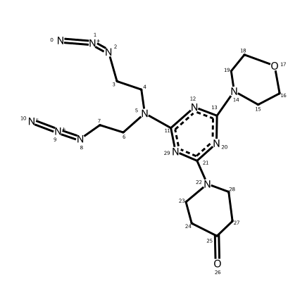 [N-]=[N+]=NCCN(CCN=[N+]=[N-])c1nc(N2CCOCC2)nc(N2CCC(=O)CC2)n1